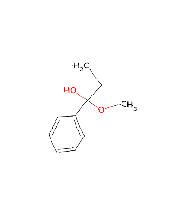 [CH2]CC(O)(OC)c1ccccc1